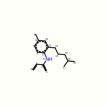 C=CC(=C)Nc1ccc(C)cc1CCCC(C)C